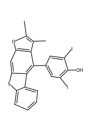 Cc1oc2cc3sc4ccccc4c3c(-c3cc(I)c(O)c(I)c3)c2c1C